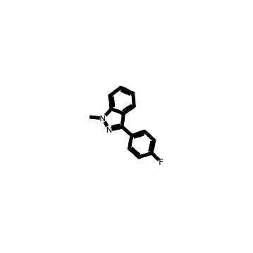 Cn1nc(-c2ccc(F)cc2)c2c[c]ccc21